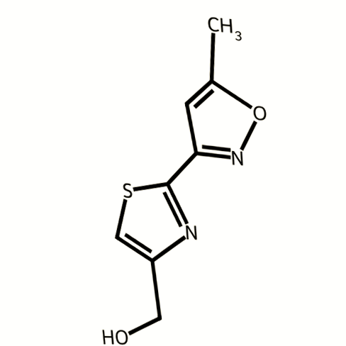 Cc1cc(-c2nc(CO)cs2)no1